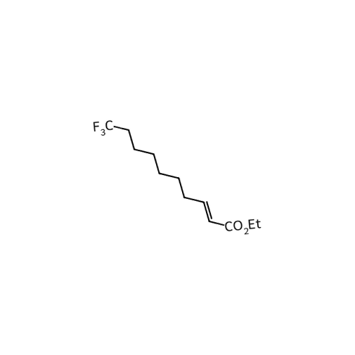 CCOC(=O)/C=C/CCCCCCC(F)(F)F